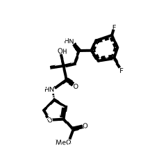 COC(=O)C1=C[C@@H](NC(=O)C(C)(O)CC(=N)c2cc(F)cc(F)c2)CO1